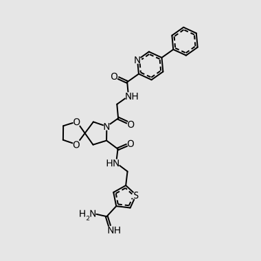 N=C(N)c1csc(CNC(=O)C2CC3(CN2C(=O)CNC(=O)c2ccc(-c4ccccc4)cn2)OCCO3)c1